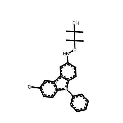 CC(C)(O)C(C)(C)OBc1ccc2c(c1)c1cc(Cl)ccc1n2-c1ccccc1